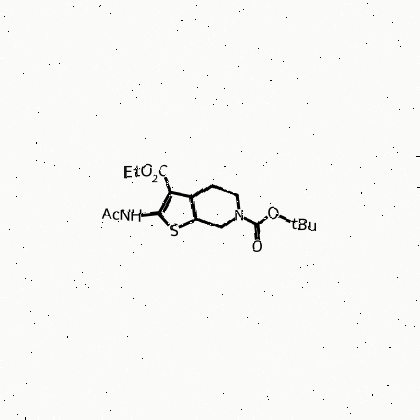 CCOC(=O)C1=C(NC(C)=O)SC2CN(C(=O)OC(C)(C)C)CCC12